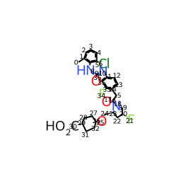 Cc1cccc(Cl)c1Nc1nc2ccc(CC(=O)N3C[C@@H](F)C[C@H]3CO[C@H]3CC[C@H](C(=O)O)CC3)c(F)c2o1